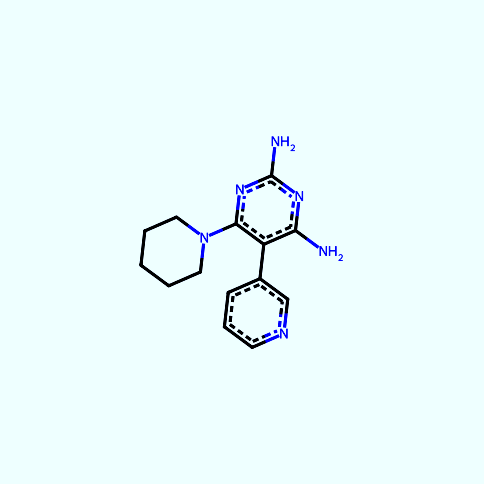 Nc1nc(N)c(-c2cccnc2)c(N2CCCCC2)n1